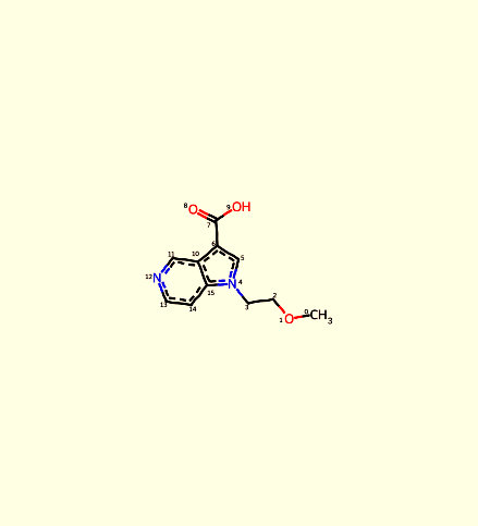 COCCn1cc(C(=O)O)c2cnccc21